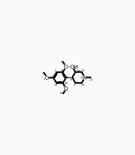 COc1cc(OC)c([C@@H]2CCN(C)CC2O)c(OC)c1